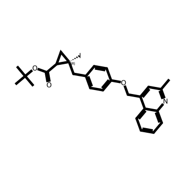 Cc1cc(COc2ccc(C[C@]3(I)CC3C(=O)OC(C)(C)C)cc2)c2ccccc2n1